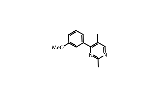 COc1cccc(-c2nc(C)ncc2C)c1